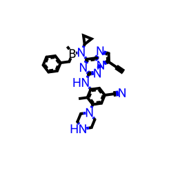 C#Cc1cnc2c(N(B(C)Cc3ccccc3)C3CC3)nc(Nc3cc(C#N)cc(N4CCNCC4)c3C)nn12